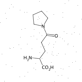 NC(CCC(=O)N1CCCC1)C(=O)O